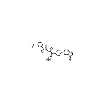 O=C(NCC(=O)N(C1CCC(c2ccc3nc[nH]c3c2)CC1)C1CNC1)c1cccc(C(F)(F)F)c1